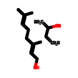 CC(C)=CCC/C(C)=C/CO.O=C(O)CC(O)C(=O)O